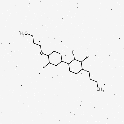 CCCCOC1CCC(C2CCC(CCCC)C(F)C2F)CC1F